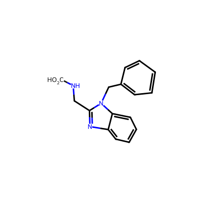 O=C(O)NCc1nc2ccccc2n1Cc1ccccc1